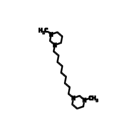 CN1CCCN(CCCCCCCCCN2CCCN(C)C2)C1